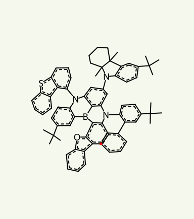 CC(C)(C)c1ccc2c(c1)B1c3c(cc(N4c5ccc(C(C)(C)C)cc5C5(C)CCCCC45C)cc3N2c2cccc3sc4ccccc4c23)N(c2ccc(C(C)(C)C)cc2-c2ccccc2)c2ccc3c(oc4ccccc43)c21